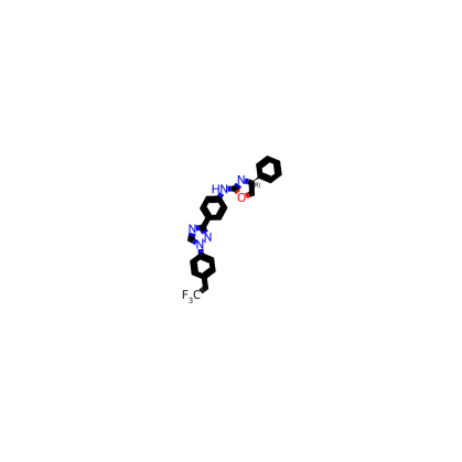 FC(F)(F)Cc1ccc(-n2cnc(-c3ccc(NC4=N[C@H](c5ccccc5)CO4)cc3)n2)cc1